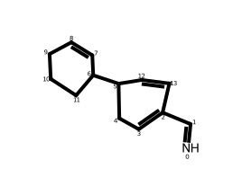 N=CC1=CCC(C2C=CCCC2)C=C1